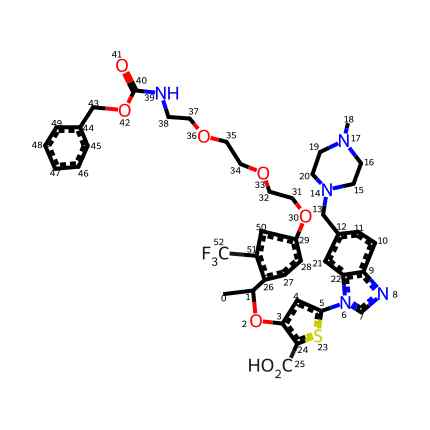 CC(Oc1cc(-n2cnc3ccc(CN4CCN(C)CC4)cc32)sc1C(=O)O)c1ccc(OCCOCCOCCNC(=O)OCc2ccccc2)cc1C(F)(F)F